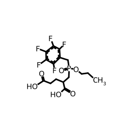 CCCOP(=O)(Cc1c(F)c(F)c(F)c(F)c1F)CC(CCC(=O)O)C(=O)O